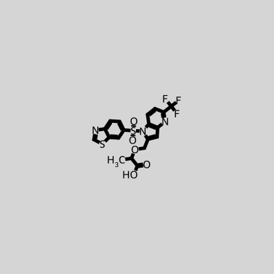 CC(OCc1cc2nc(C(F)(F)F)ccc2n1S(=O)(=O)c1ccc2ncsc2c1)C(=O)O